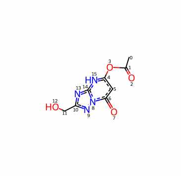 CC(=O)Oc1cc(=O)n2nc(CO)nc2[nH]1